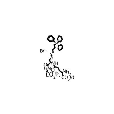 CCOC(=O)CNC(=O)C(CSSCCCC[P+](c1ccccc1)(c1ccccc1)c1ccccc1)NC(=O)CCC(N)C(=O)OCC.[Br-]